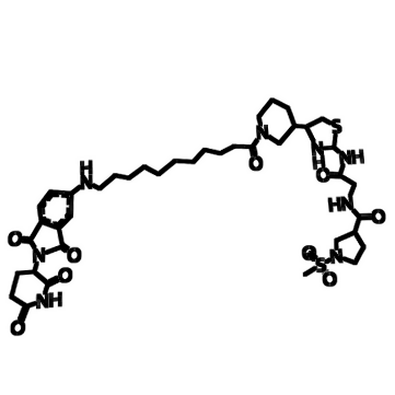 CS(=O)(=O)N1CCC(C(=O)NCC(=O)NC2NC(C3CCCN(C(=O)CCCCCCCCCCNc4ccc5c(c4)C(=O)N(C4CCC(=O)NC4=O)C5=O)C3)CS2)C1